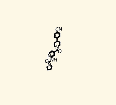 N#Cc1ccc(C2CCN(C(=O)c3ccnc(NC(=O)N4CCCC4)c3)CC2)cc1